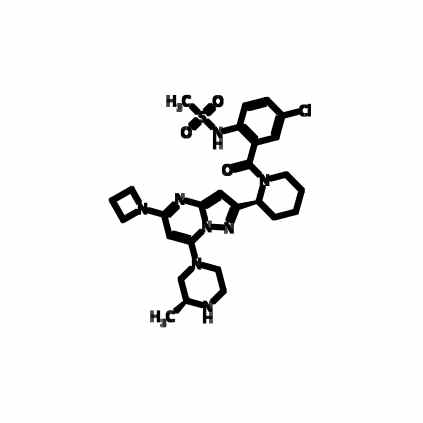 C[C@H]1CN(c2cc(N3CCC3)nc3cc([C@@H]4CCCCN4C(=O)c4cc(Cl)ccc4NS(C)(=O)=O)nn23)CCN1